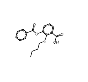 CCCCOc1c(OC(=O)c2ccccc2)cccc1C(=O)O